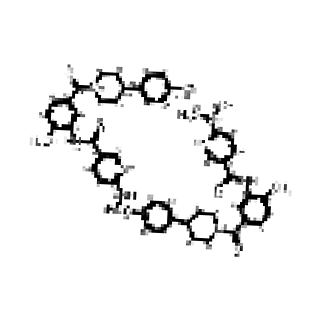 Cc1ccc(C(=O)N2CCC(c3ccc(C#N)cc3)CC2)cc1NC(=O)c1ccc(N(C)C(C)C)nc1.Cc1ccc(C(=O)N2CCC(c3ccc(C#N)cc3)CC2)cc1NC(=O)c1ccc(NC(C)C)nc1